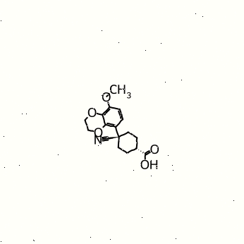 COc1ccc([C@]2(C#N)CC[C@H](C(=O)O)CC2)c2c1OCCO2